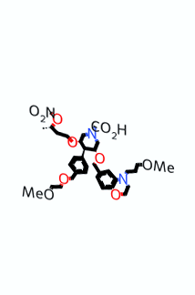 COCCCN1CCOc2ccc(CO[C@H]3CN(C(=O)O)C[C@@H](OCC[C@H](C)O[N+](=O)[O-])[C@@H]3c3ccc(COCCOC)cc3)cc21